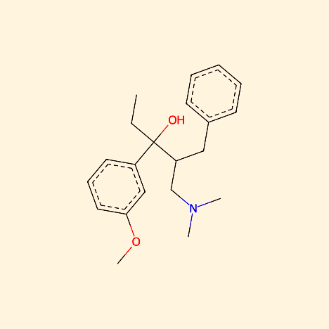 CCC(O)(c1cccc(OC)c1)C(Cc1ccccc1)CN(C)C